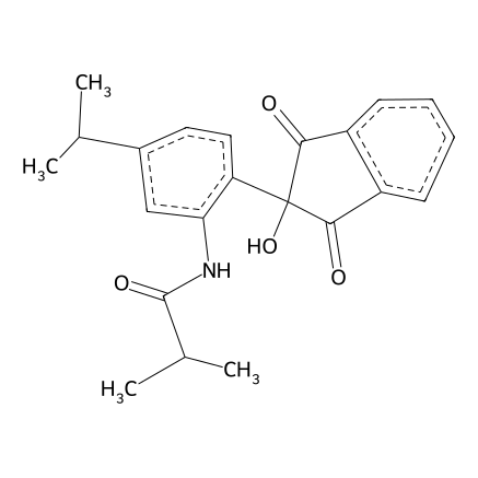 CC(C)C(=O)Nc1cc(C(C)C)ccc1C1(O)C(=O)c2ccccc2C1=O